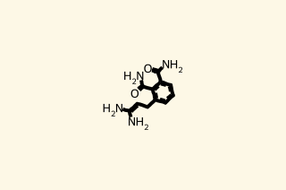 NC(=O)c1cccc(CC=C(N)N)c1C(N)=O